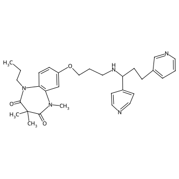 CCCN1C(=O)C(C)(C)C(=O)N(C)c2cc(OCCCNC(CCc3cccnc3)c3ccncc3)ccc21